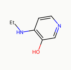 CCNc1ccncc1O